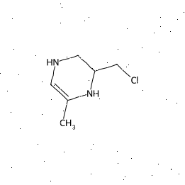 CC1=CNCC(CCl)N1